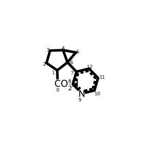 O=C(O)C1CCC2CC21c1[c]nccc1